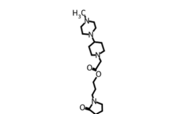 CN1CCN(C2CCN(CC(=O)OCCCN3CCCC3=O)CC2)CC1